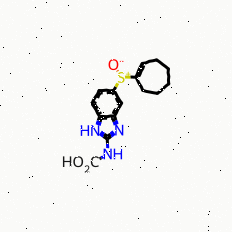 O=C(O)Nc1nc2cc([S+]([O-])C3=CCCCCC3)ccc2[nH]1